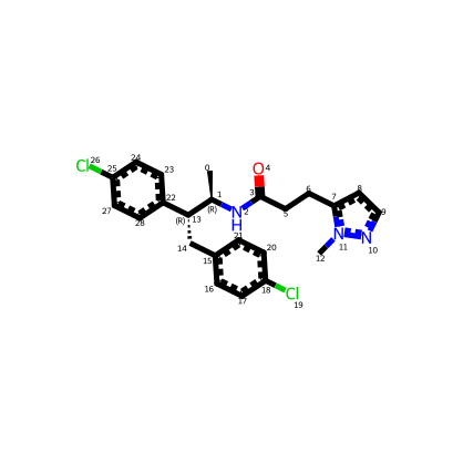 C[C@@H](NC(=O)CCc1ccnn1C)[C@H](Cc1ccc(Cl)cc1)c1ccc(Cl)cc1